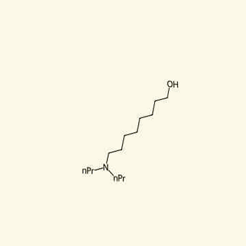 CCCN(CCC)CCCCCCCCO